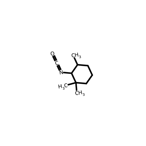 CC1CCCC(C)(C)C1N=C=O